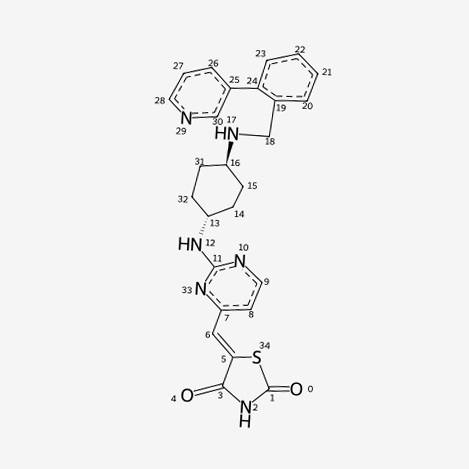 O=C1NC(=O)/C(=C/c2ccnc(N[C@H]3CC[C@H](NCc4ccccc4-c4cccnc4)CC3)n2)S1